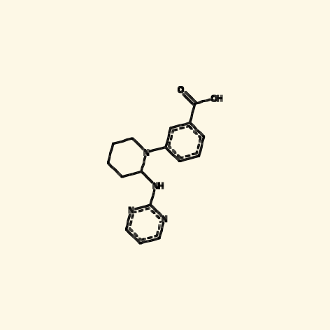 O=C(O)c1cccc(N2CCCCC2Nc2ncccn2)c1